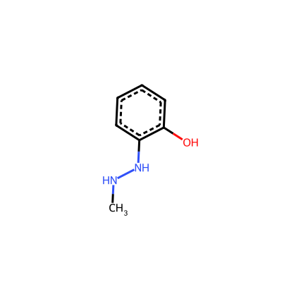 CNNc1ccccc1O